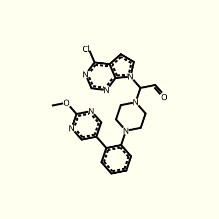 COc1ncc(-c2ccccc2N2CCN(C(C=O)n3ccc4c(Cl)ncnc43)CC2)cn1